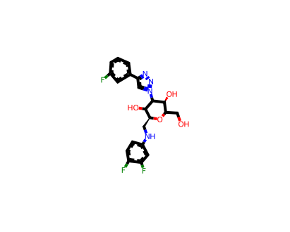 OCC1O[C@@H](CNc2ccc(F)c(F)c2)C(O)C(n2cc(-c3cccc(F)c3)nn2)[C@H]1O